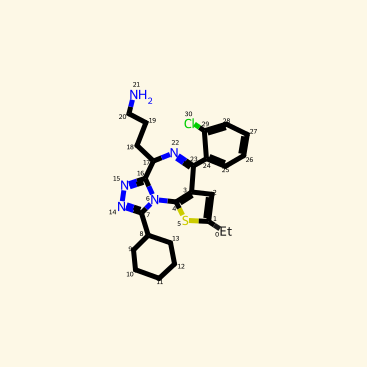 CCc1cc2c(s1)-n1c(C3CCCCC3)nnc1C(CCCN)N=C2c1ccccc1Cl